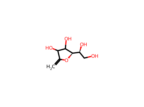 C=C1O[C@H]([C@@H](O)CO)C(O)C1O